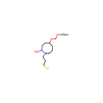 CCCCCCCCCOCOC1CCC[SiH](CCCS)N(O)CC1